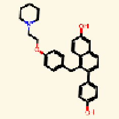 Oc1ccc(-c2ccc3cc(O)ccc3c2Cc2ccc(OCCN3CCCCC3)cc2)cc1